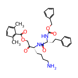 Cc1cccc(C)c1C(=O)OCC(=O)[C@@H](CCCCN)NC(=O)[C@@H](CCc1ccccc1)NC(=O)OCc1ccccc1